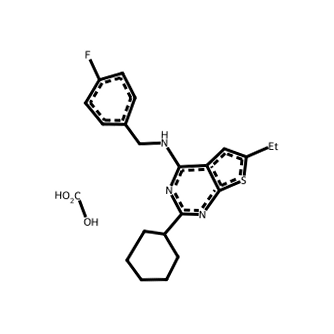 CCc1cc2c(NCc3ccc(F)cc3)nc(C3CCCCC3)nc2s1.O=C(O)O